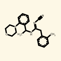 Cc1ccccc1C/C(=N\C#N)NC(C)c1ccccc1N1CCOCC1